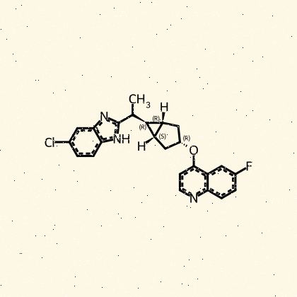 CC(c1nc2cc(Cl)ccc2[nH]1)[C@H]1[C@@H]2C[C@H](Oc3ccnc4ccc(F)cc34)C[C@@H]21